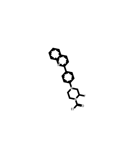 CCC(=O)N1CCN(c2ccc(-c3ccc4ccccc4n3)cc2)CC1F